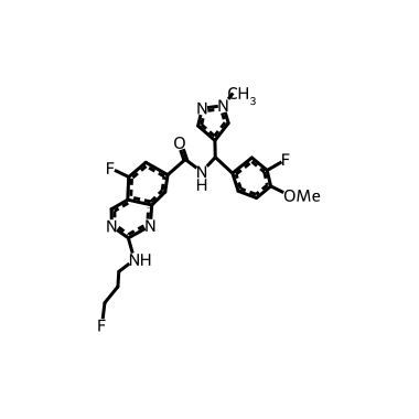 COc1ccc(C(NC(=O)c2cc(F)c3cnc(NCCCF)nc3c2)c2cnn(C)c2)cc1F